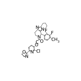 Cc1ccc(C2c3c(nc4n3CCCC4)CCN2C(=O)COc2ccc(-c3ncco3)nc2Cl)c(F)c1F